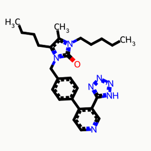 CCCCCn1c(C)c(CCCC)n(Cc2ccc(-c3ccncc3-c3nnn[nH]3)cc2)c1=O